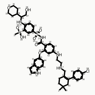 CC1(C)CCC(CNCCNc2ccc(C(=O)NS(=O)(=O)c3ccc(NC(CO)C4CCOCC4)c([N+](C)([O-])O)c3)c(Oc3ccc4[nH]ccc4c3)c2)=C(c2ccc(Cl)cc2)C1